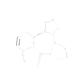 O=C1c2c(Br)cccc2-n2cncc2C2CCCN12